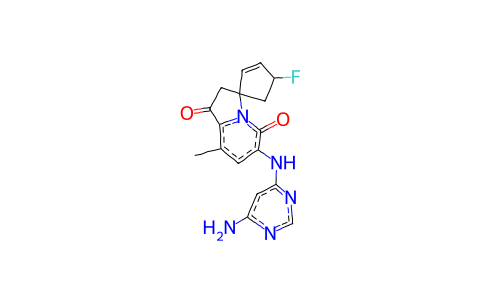 Cc1cc(Nc2cc(N)ncn2)c(=O)n2c1C(=O)CC21C=CC(F)C1